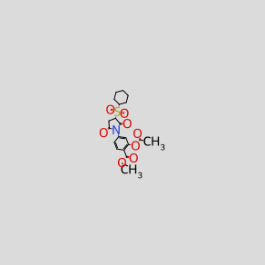 COC(=O)c1ccc(N2C(=O)CC(S(=O)(=O)C3CCCCC3)C2=O)cc1OC(C)=O